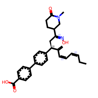 C=C(/C=C\C=C/CC)[C@H](C/C(=N\O)C1CCC(=O)N(C)C1)c1ccc(-c2ccc(C(=O)O)cc2)cc1